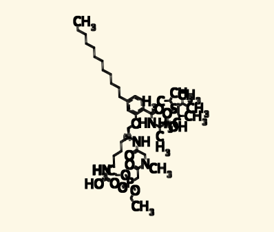 CCCCCCCCCCCCc1ccc(C(=O)NC(C)[C@H](O)O[Si](C(C)C)(C(C)C)C(C)C)c(OC[C@H](CCCCNC(=O)O)NC(=O)CN(C)C(=O)CP(=O)(OCC)OCC)c1